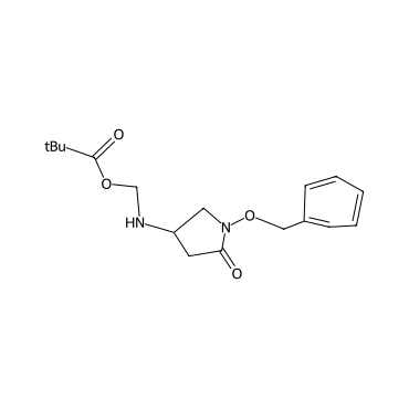 CC(C)(C)C(=O)OCNC1CC(=O)N(OCc2ccccc2)C1